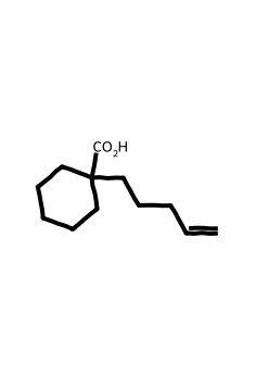 C=CCCCC1(C(=O)O)CCCCC1